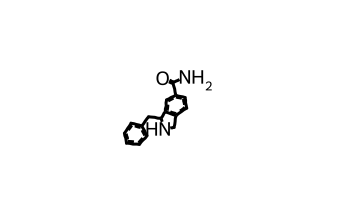 NC(=O)c1ccc2c(c1)C(Cc1ccccc1)NC2